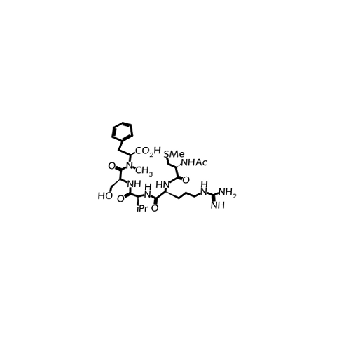 CSC[C@H](NC(C)=O)C(=O)N[C@@H](CCCNC(=N)N)C(=O)N[C@H](C(=O)N[C@@H](CO)C(=O)N(C)[C@@H](Cc1ccccc1)C(=O)O)C(C)C